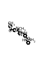 Cc1nc2cc(C(=O)N3CCN(C)CC3)ccn2c1-c1ccnc(Nc2ccc(C(=O)Nc3ccccc3N)cc2)n1